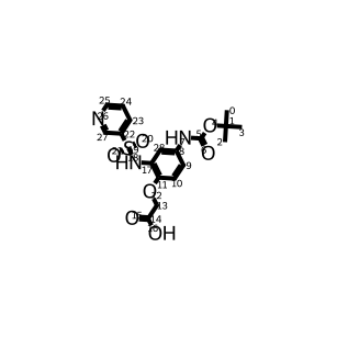 CC(C)(C)OC(=O)Nc1ccc(OCC(=O)O)c(NS(=O)(=O)c2cccnc2)c1